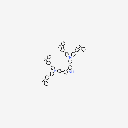 CC1(C)c2ccccc2-c2cc(-c3ccc4c(c3)c3cc(-c5ccc6c(c5)-c5ccccc5C6(C)C)ccc3n4-c3ccc(-c4ccc5[nH]c6ccc(C7CCC(n8c9ccc(-c%10ccc%11c(c%10)-c%10ccccc%10C%11(C)C)cc9c9cc(-c%10ccc%11c(c%10)-c%10ccccc%10C%11(C)C)ccc98)CC7)cc6c5c4)cc3)ccc21